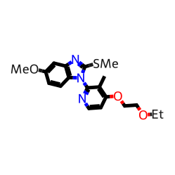 CCOCCOc1ccnc(-n2c(SC)nc3cc(OC)ccc32)c1C